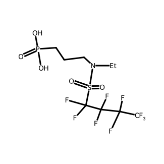 CCN(CCCP(=O)(O)O)S(=O)(=O)C(F)(F)C(F)(F)C(F)(F)C(F)(F)F